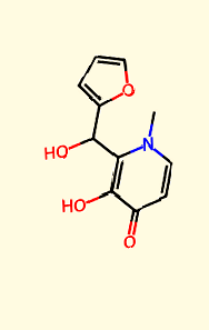 Cn1ccc(=O)c(O)c1C(O)c1ccco1